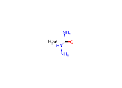 NNC(N)=O.[SeH2]